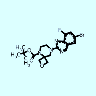 CC(C)(C)OC(=O)N1CCN(c2ncc3cc(Br)cc(F)c3n2)CC12COC2